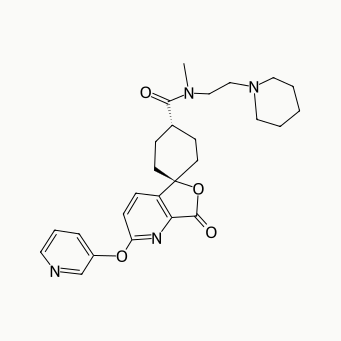 CN(CCN1CCCCC1)C(=O)[C@H]1CC[C@@]2(CC1)OC(=O)c1nc(Oc3cccnc3)ccc12